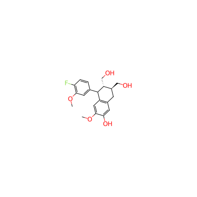 COc1cc2c(cc1O)C[C@H](CO)[C@@H](CO)C2c1ccc(F)c(OC)c1